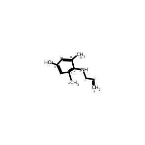 C=CCNc1c(C)cc(O)cc1C